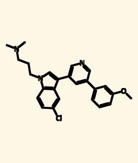 COc1cccc(-c2cncc(-c3cn(CCCN(C)C)c4ccc(Cl)cc34)c2)c1